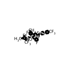 Cc1cc(-c2cc3sc(N4CCN(c5ccc(C(F)(F)F)cc5)CC4)nc3nc2C(Cc2cc(F)cc(F)c2)NC(=O)Cn2nc(C(F)(F)F)c3c2C(F)(F)C2C3[C@H]2C)ccc1F